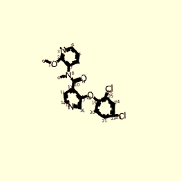 COc1ncccc1N(C)C(=O)c1ccncc1Oc1ccc(Cl)cc1Cl